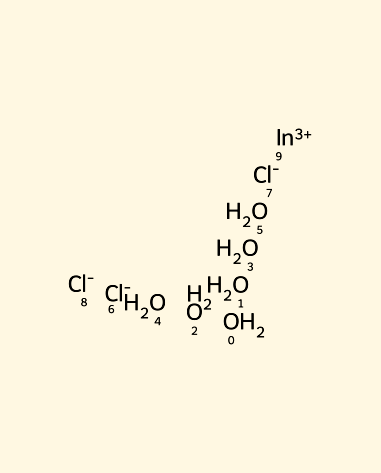 O.O.O.O.O.O.[Cl-].[Cl-].[Cl-].[In+3]